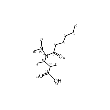 CCCCCC(=O)N(C(C)C(C)C(=O)O)N(C)C